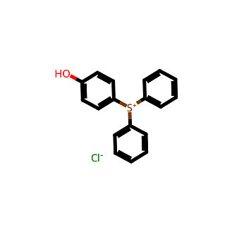 Oc1ccc([S+](c2ccccc2)c2ccccc2)cc1.[Cl-]